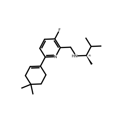 CC(C)[C@@H](C)NCc1nc(C2=CCC(C)(C)CC2)ccc1F